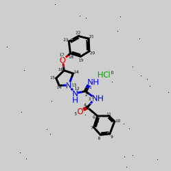 Cl.N=C(NC(=O)c1ccccc1)NN1CCC(Oc2ccccc2)C1